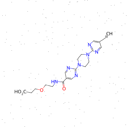 C#Cc1cnc(N2CCN(c3ncc(C(=O)NCCOCCC(=O)O)cn3)CC2)nc1